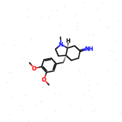 COc1ccc(C[C@@]23CCC(=N)C[C@@H]2N(C)CC3)cc1OC